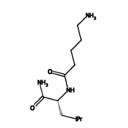 CC(C)C[C@@H](NC(=O)CCCCN)C(N)=O